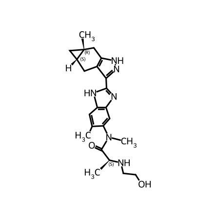 Cc1cc2[nH]c(-c3n[nH]c4c3C[C@@H]3C[C@]3(C)C4)nc2cc1N(C)C(=O)[C@H](C)NCCO